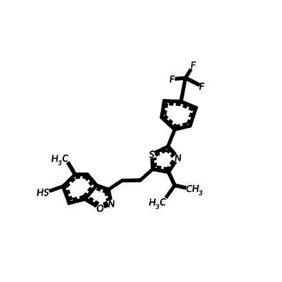 Cc1cc2c(CCc3sc(-c4ccc(C(F)(F)F)cc4)nc3C(C)C)noc2cc1S